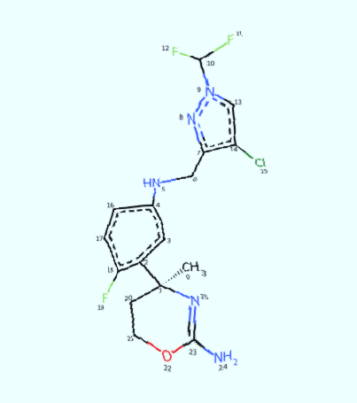 C[C@@]1(c2cc(NCc3nn(C(F)F)cc3Cl)ccc2F)CCOC(N)=N1